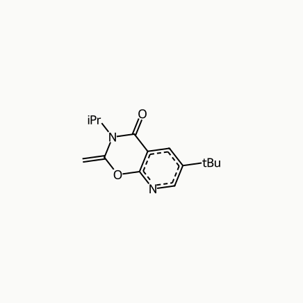 C=C1Oc2ncc(C(C)(C)C)cc2C(=O)N1C(C)C